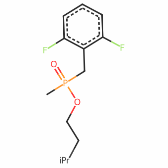 CC(C)CCOP(C)(=O)Cc1c(F)cccc1F